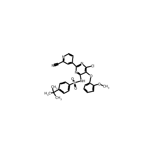 COc1ccccc1Oc1c(Cl)nc(-c2ccnc(C#N)c2)nc1NS(=O)(=O)c1ccc(C(C)(C)C)cc1